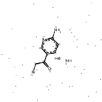 Br.Br.Nc1ccc(C(=O)CBr)cn1